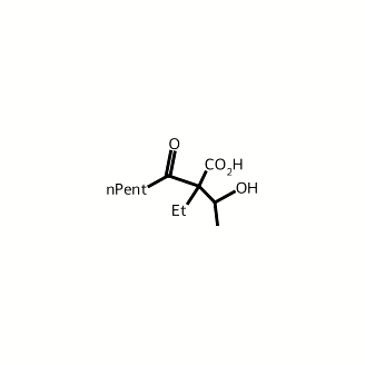 CCCCCC(=O)C(CC)(C(=O)O)C(C)O